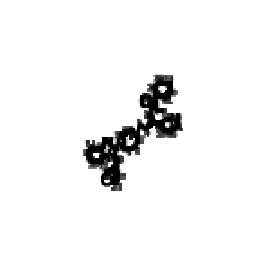 CN(CC(CCN1CCCN(c2nc3ccccc3n2Cc2ccoc2)CC1)c1cccnc1)C(=O)c1ccccc1